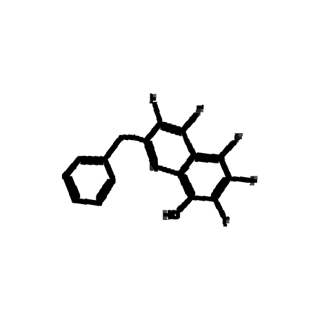 Oc1c(F)c(F)c(F)c2c(F)c(F)c(Cc3ccccc3)nc12